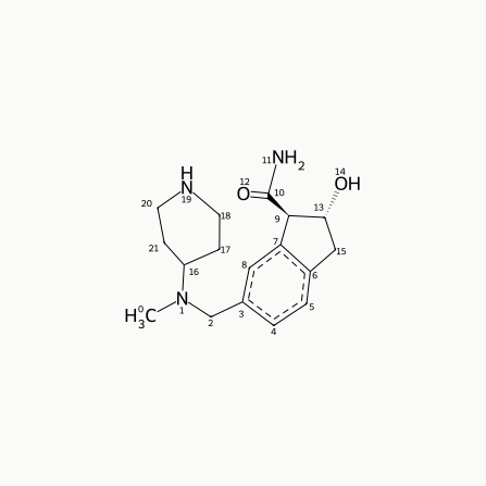 CN(Cc1ccc2c(c1)[C@@H](C(N)=O)[C@H](O)C2)C1CCNCC1